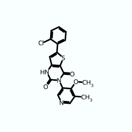 COc1c(C)cncc1-n1c(=O)[nH]c2cc(-c3ccccc3Cl)sc2c1=O